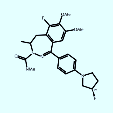 CNC(=O)N1N=C(c2ccc(N3CC[C@@H](F)C3)cc2)c2cc(OC)c(OC)c(F)c2CC1C